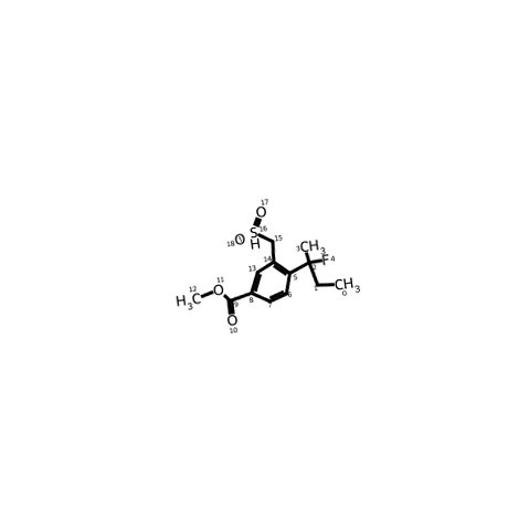 CCC(C)(F)c1ccc(C(=O)OC)cc1C[SH](=O)=O